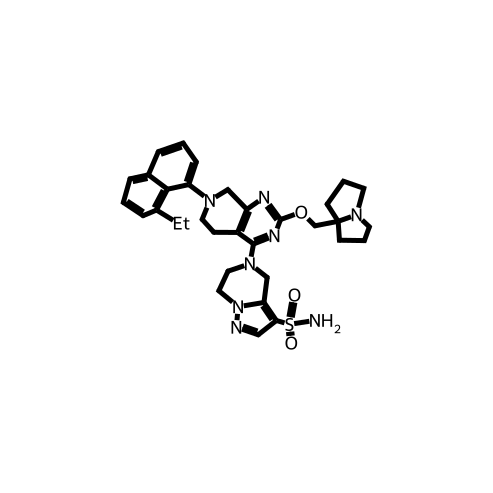 CCc1cccc2cccc(N3CCc4c(nc(OCC56CCCN5CCC6)nc4N4CCn5ncc(S(N)(=O)=O)c5C4)C3)c12